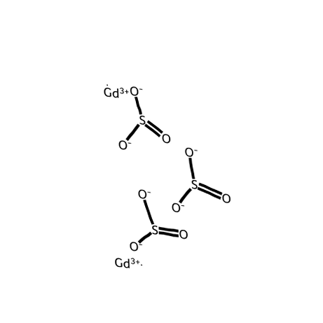 O=S([O-])[O-].O=S([O-])[O-].O=S([O-])[O-].[Gd+3].[Gd+3]